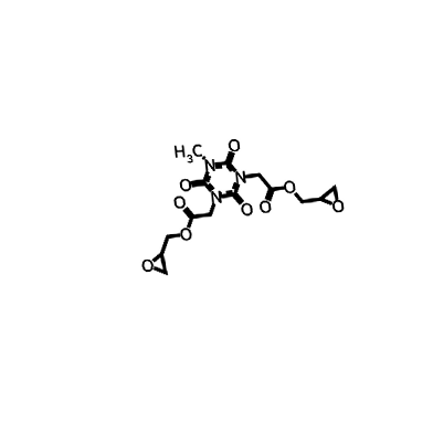 Cn1c(=O)n(CC(=O)OCC2CO2)c(=O)n(CC(=O)OCC2CO2)c1=O